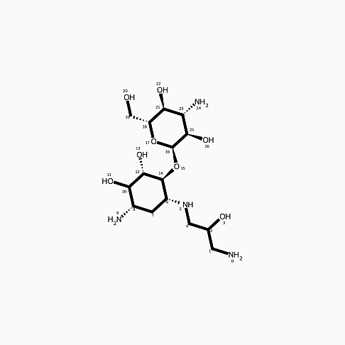 NCC(O)CN[C@@H]1C[C@H](N)C(O)[C@H](O)[C@H]1O[C@H]1O[C@H](CO)[C@@H](O)[C@H](N)[C@H]1O